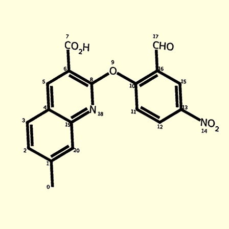 Cc1ccc2cc(C(=O)O)c(Oc3ccc([N+](=O)[O-])cc3C=O)nc2c1